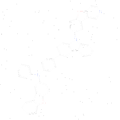 c1ccc(N(c2ccc(-c3ccc4c(c3)c3ccccc3n4-c3ccc4oc5ccncc5c4c3)cc2)c2ccc3oc4ccccc4c3c2)cc1